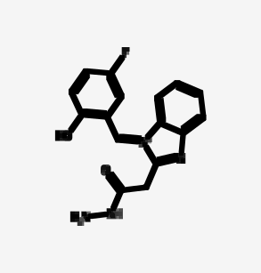 NNC(=O)CC1=Nc2ccccc2[N+]1=Cc1cc(F)ccc1O